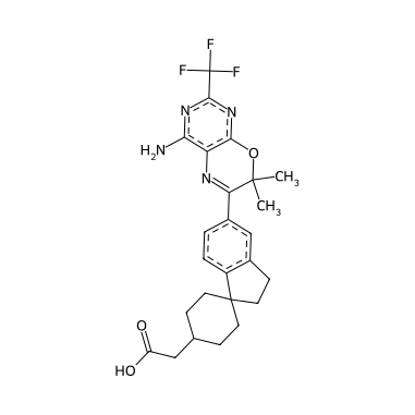 CC1(C)Oc2nc(C(F)(F)F)nc(N)c2N=C1c1ccc2c(c1)CCC21CCC(CC(=O)O)CC1